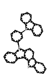 c1cc(-n2c3ccccc3c3ccccc32)cc(-n2c3ccccc3c3c4sc5ccccc5c4ccc32)c1